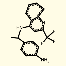 CC(Nc1cc(C(F)(F)F)nc2ccccc12)c1ccc(N)cc1